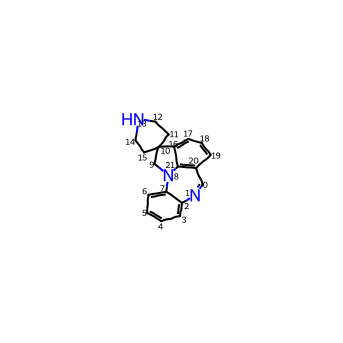 C1=Nc2ccccc2N2CC3(CCNCC3)c3cccc1c32